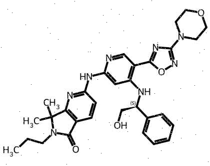 CCCN1C(=O)c2ccc(Nc3cc(N[C@H](CO)c4ccccc4)c(-c4nc(N5CCOCC5)no4)cn3)nc2C1(C)C